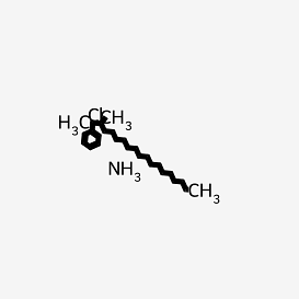 CCCCCCCCCCCCCCCCC(C)C(C)(Cl)c1ccccc1.N